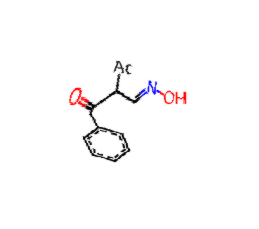 CC(=O)C(C=NO)C(=O)c1ccccc1